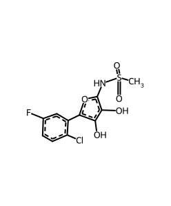 CS(=O)(=O)Nc1oc(-c2cc(F)ccc2Cl)c(O)c1O